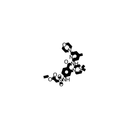 CCOC(=O)CS(=O)(=O)Nc1ccc(C(=O)Nc2cc(C)cc(N3CCOCC3)n2)c(N2CC[Si](C)(C)CC2)c1